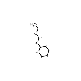 CCOOOC1CCCCO1